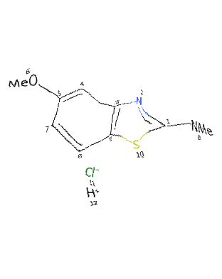 CNc1nc2cc(OC)ccc2s1.[Cl-].[H+]